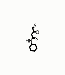 O=C(C=S)CC(=S)NC1CCCCC1